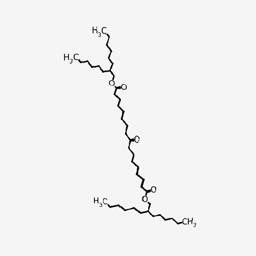 CCCCCCC(CCCCCC)COC(=O)CCCCCCCC(=O)CCCCCCCC(=O)OCC(CCCCCC)CCCCCC